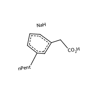 CCCCCc1cccc(CC(=O)O)c1.[NaH]